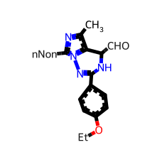 CCCCCCCCCc1nc(C)c2n1N=C(c1ccc(OCC)cc1)NC2C=O